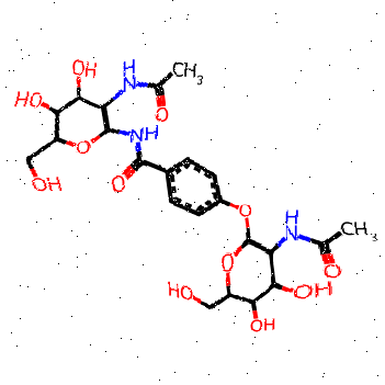 CC(=O)NC1C(NC(=O)c2ccc(OC3OC(CO)C(O)C(O)C3NC(C)=O)cc2)OC(CO)C(O)C1O